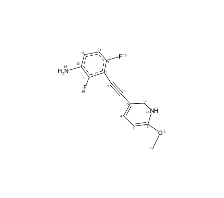 COC1=CC=C(C#Cc2c(F)ccc(N)c2F)CN1